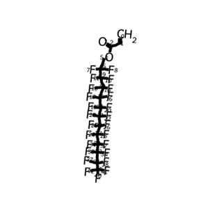 C=CC(=O)OCC(F)(F)C(F)(F)C(F)(F)C(F)(F)C(F)(F)C(F)(F)C(F)(F)C(F)(F)C(F)(F)C(F)(F)C(F)(F)C(F)(F)F